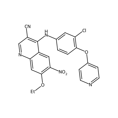 CCOc1cc2ncc(C#N)c(Nc3ccc(Oc4ccncc4)c(Cl)c3)c2cc1[N+](=O)[O-]